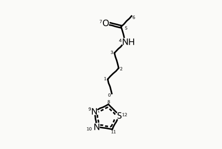 CCCCNC(C)=O.c1nncs1